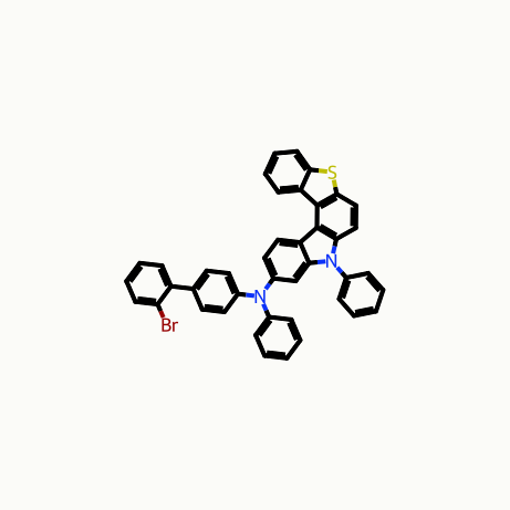 Brc1ccccc1-c1ccc(N(c2ccccc2)c2ccc3c4c5c(ccc4n(-c4ccccc4)c3c2)sc2ccccc25)cc1